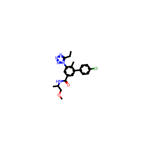 CCc1nnnn1-c1cc(C(=O)NC(C)COC)cc(-c2ccc(Cl)cc2)c1C